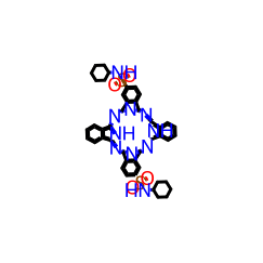 O=S(=O)(NC1CCCCC1)c1ccc2c(c1)-c1nc-2nc2[nH]c(nc3nc(nc4[nH]c(n1)c1ccccc41)-c1ccc(S(=O)(=O)NC4CCCCC4)cc1-3)c1ccccc21